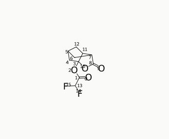 O=C(OC12CC3CC(C(=O)O1)C2C3)C(F)F